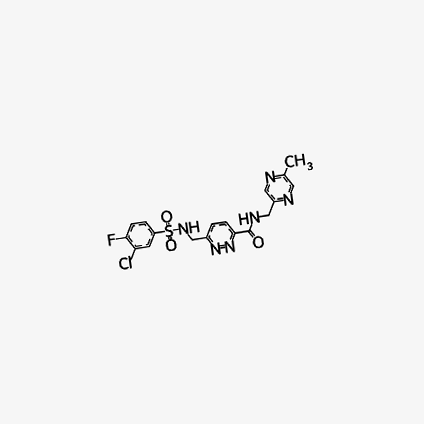 Cc1cnc(CNC(=O)c2ccc(CNS(=O)(=O)c3ccc(F)c(Cl)c3)nn2)cn1